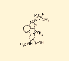 CNc1cc(C2=CCCCc3nc(NCC(C)(C)F)nc(OC)c32)ccc1N=N